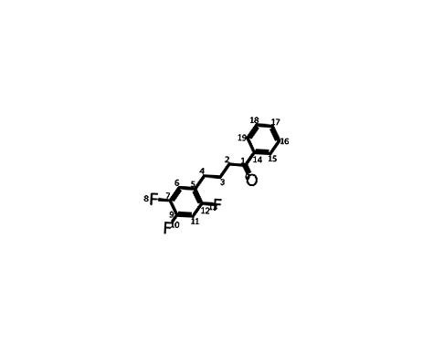 O=C(CCCc1cc(F)c(F)cc1F)c1ccccc1